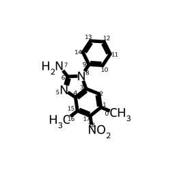 Cc1cc2c(nc(N)n2-c2ccccc2)c(C)c1[N+](=O)[O-]